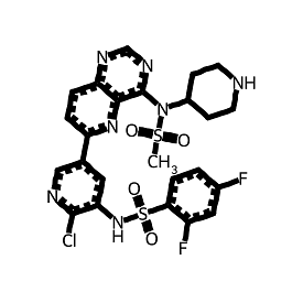 CS(=O)(=O)N(c1ncnc2ccc(-c3cnc(Cl)c(NS(=O)(=O)c4ccc(F)cc4F)c3)nc12)C1CCNCC1